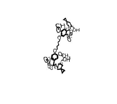 COc1cc(C(=O)N2CC3(CC3)C[C@H]2CO)c([N+](=O)[O-])cc1OCCCCCOc1cc([N+](=O)[O-])c(C(=O)N2CC3(CC3)C[C@H]2CO)cc1OC